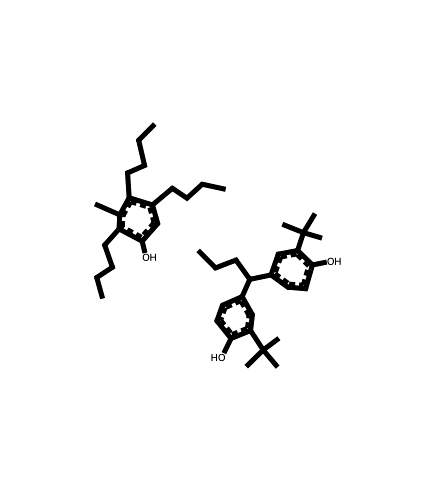 CCCC(c1ccc(O)c(C(C)(C)C)c1)c1ccc(O)c(C(C)(C)C)c1.CCCCc1cc(O)c(CCCC)c(C)c1CCCC